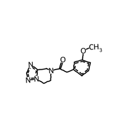 COc1cccc(CC(=O)N2CCn3ncnc3C2)c1